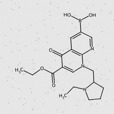 CCOC(=O)c1cn(CC2CCCN2CC)c2ncc(B(O)O)cc2c1=O